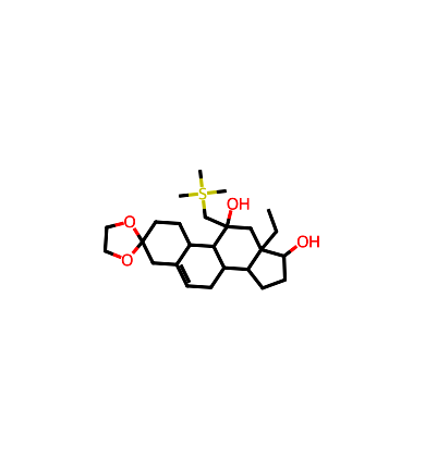 CCC12CC(O)(CS(C)(C)C)C3C4CCC5(CC4=CCC3C1CCC2O)OCCO5